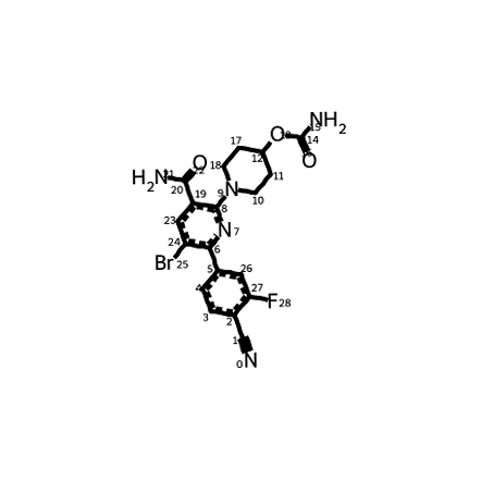 N#Cc1ccc(-c2nc(N3CCC(OC(N)=O)CC3)c(C(N)=O)cc2Br)cc1F